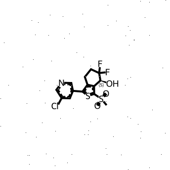 CS(=O)(=O)c1sc(-c2cncc(Cl)c2)c2c1[C@H](O)C(F)(F)CC2